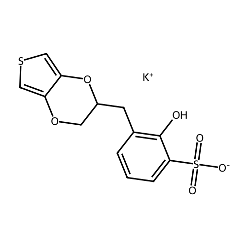 O=S(=O)([O-])c1cccc(CC2COc3cscc3O2)c1O.[K+]